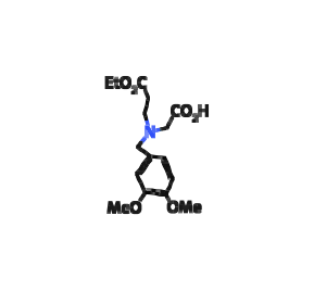 CCOC(=O)CCN(CC(=O)O)Cc1ccc(OC)c(OC)c1